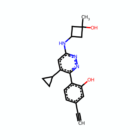 C#Cc1ccc(-c2nnc(NC3CC(C)(O)C3)cc2C2CC2)c(O)c1